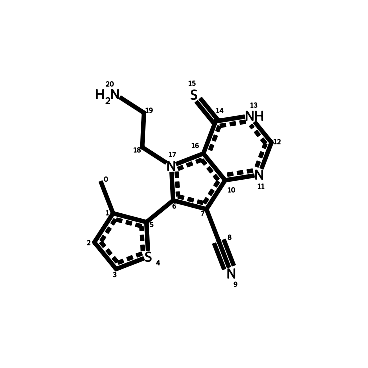 Cc1ccsc1-c1c(C#N)c2nc[nH]c(=S)c2n1CCN